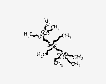 CCCC[Si](CCCC)(SCC[Si](OCCC)(OCCC)OCCC)SCC[Si](OCCC)(OCCC)OCCC